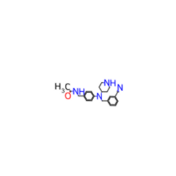 CC(=O)NCc1ccc(N(Cc2cccc(C#N)c2)C2CCNCC2)cc1